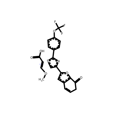 CO/C=C/C(=O)O.O=C1CC=Cc2cc(-c3csc(-c4ccc(OC(F)(F)F)cc4)n3)oc21